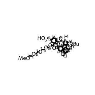 COCCOCCOCCOCOC(=O)C1(OC)CC(C(=O)O)=CC=C1NC(=O)[C@@H]1N[C@@H](CC(C)(C)C)[C@](C#N)(c2ccc(Cl)cc2F)[C@H]1c1cccc(Cl)c1F